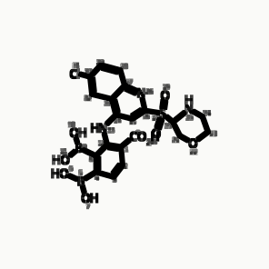 O=C(O)c1ccc(B(O)O)c(B(O)O)c1Nc1cc(S(=O)(=O)C2COCCN2)nc2ccc(Cl)cc12